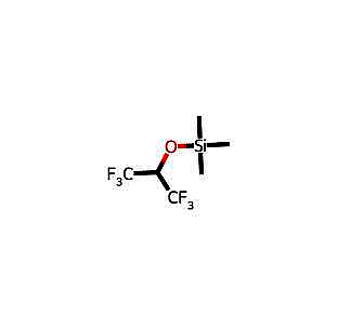 C[Si](C)(C)OC(C(F)(F)F)C(F)(F)F